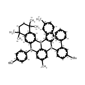 Cc1cc2c3c(c1)N(c1ccc(C(C)(C)C)cc1-c1ccccc1)c1oc4ccc(C)cc4c1B3c1cc3c(cc1N2c1ccc(C(C)(C)C)cc1)C(C)(C)CCC3(C)C